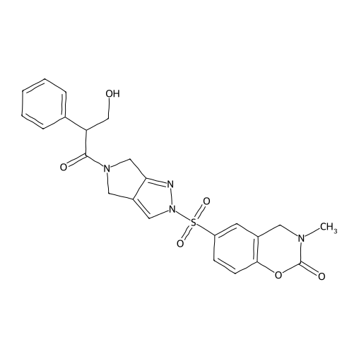 CN1Cc2cc(S(=O)(=O)n3cc4c(n3)CN(C(=O)C(CO)c3ccccc3)C4)ccc2OC1=O